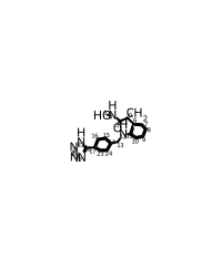 C=C(C(=O)NO)c1ccccc1NCc1ccc(-c2nnn[nH]2)cc1